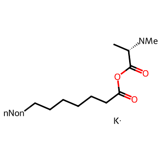 CCCCCCCCCCCCCCCC(=O)OC(=O)[C@H](C)NC.[K]